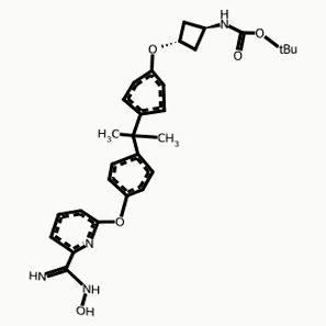 CC(C)(C)OC(=O)N[C@H]1C[C@H](Oc2ccc(C(C)(C)c3ccc(Oc4cccc(C(=N)NO)n4)cc3)cc2)C1